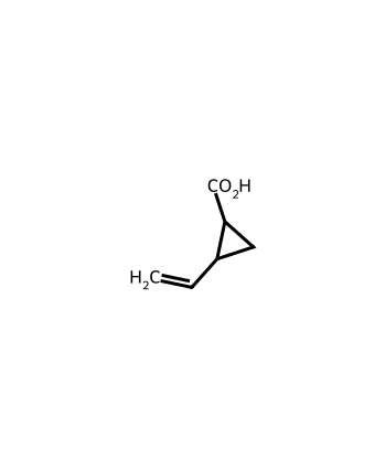 C=CC1CC1C(=O)O